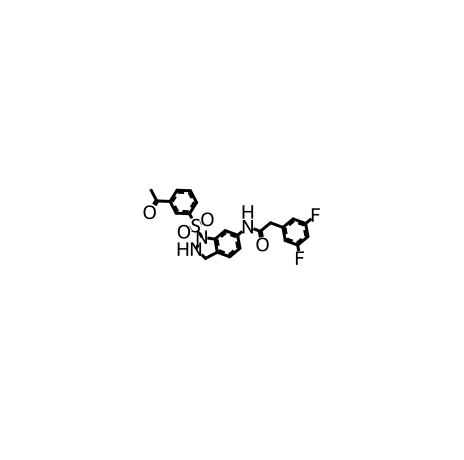 CC(=O)c1cccc(S(=O)(=O)N2NCc3ccc(NC(=O)Cc4cc(F)cc(F)c4)cc32)c1